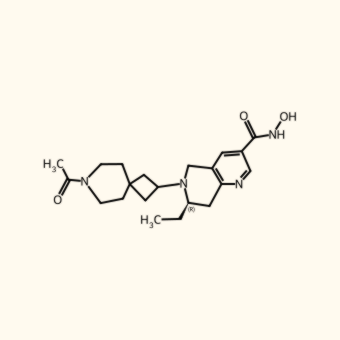 CC[C@@H]1Cc2ncc(C(=O)NO)cc2CN1C1CC2(CCN(C(C)=O)CC2)C1